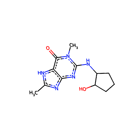 Cc1nc2nc(NC3CCCC3O)n(C)c(=O)c2[nH]1